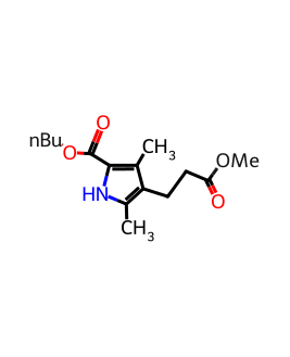 CCCCOC(=O)c1[nH]c(C)c(CCC(=O)OC)c1C